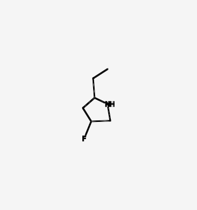 CCC1CC(F)CN1